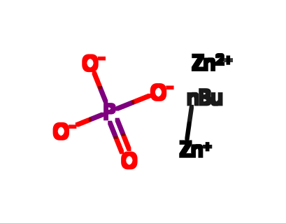 CCC[CH2][Zn+].O=P([O-])([O-])[O-].[Zn+2]